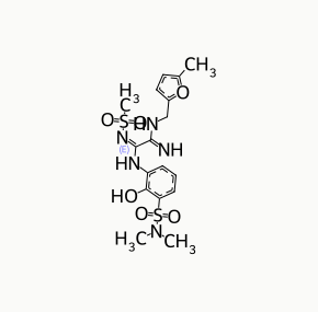 Cc1ccc(CNC(=N)/C(=N\S(C)(=O)=O)Nc2cccc(S(=O)(=O)N(C)C)c2O)o1